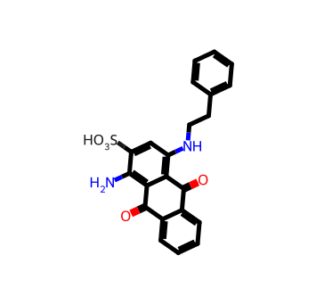 Nc1c(S(=O)(=O)O)cc(NCCc2ccccc2)c2c1C(=O)c1ccccc1C2=O